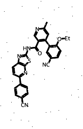 CCOc1ccc(C#N)cc1-c1cc(C)ncc1C(=O)Nc1nc2ccc(-c3ccc(C#N)cc3)nc2s1